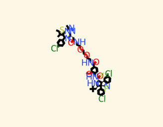 COc1cc(C(=O)NCCOCCOCCNC(=O)C[C@@H]2N=C(c3ccc(Cl)cc3)c3c(sc(C)c3C)-n3c(C)nnc32)ccc1NC(=O)[C@H]1N[C@H](CC(C)(C)C)[C@@](C#N)(c2ccc(Cl)cc2F)[C@@H]1c1cccc(Cl)c1F